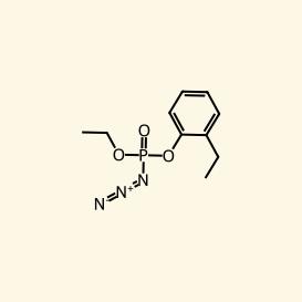 CCOP(=O)(N=[N+]=[N-])Oc1ccccc1CC